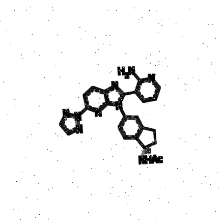 CC(=O)N[C@H]1CCc2cc(-n3c(-c4cccnc4N)nc4ccc(-n5nccn5)nc43)ccc21